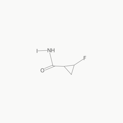 O=C(NI)C1CC1F